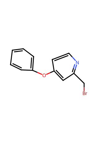 BrCc1cc(Oc2ccccc2)ccn1